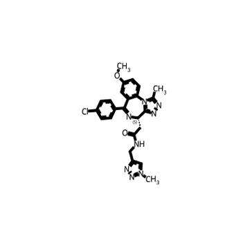 COc1ccc2c(c1)C(c1ccc(Cl)cc1)=N[C@@H](CC(=O)NCc1cn(C)nn1)c1nnc(C)n1-2